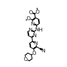 COC(=O)c1ccc(Nc2nccc(-c3ccc(OC4CCOCC4)c(C#N)n3)n2)nc1OC